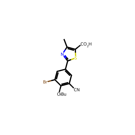 Cc1nc(-c2cc(Br)c(OCC(C)C)c(C#N)c2)sc1C(=O)O